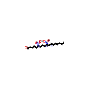 CCCCC/C=C/C/C(=C/C/C=C(/CCCC[C]=O)[N+](=O)[O-])[N+](=O)[O-]